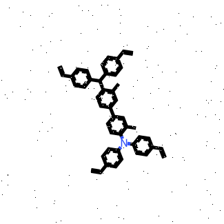 C=Cc1ccc(C(c2ccc(C=C)cc2)c2ccc(-c3ccc(N(c4ccc(C=C)cc4)c4ccc(C=C)cc4)c(C)c3)cc2C)cc1